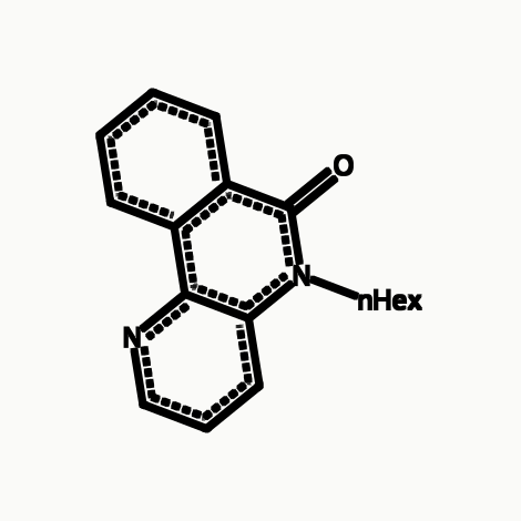 CCCCCCn1c(=O)c2ccccc2c2ncccc21